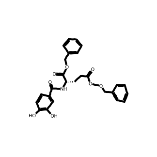 O=C(CC[C@H](NC(=O)c1ccc(O)c(O)c1)C(=O)OCc1ccccc1)OOCc1ccccc1